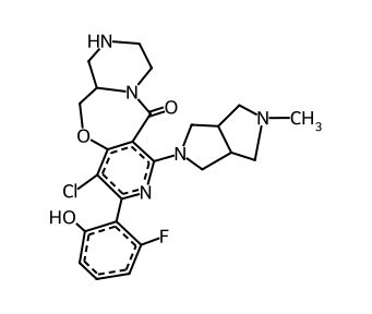 CN1CC2CN(c3nc(-c4c(O)cccc4F)c(Cl)c4c3C(=O)N3CCNCC3CO4)CC2C1